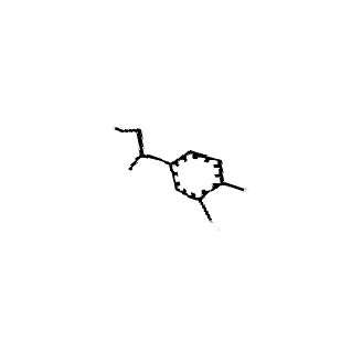 OCC(O)c1ccc(F)c(Br)c1